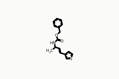 CC(C=Cc1ccsc1)NC(=O)OCc1ccccc1